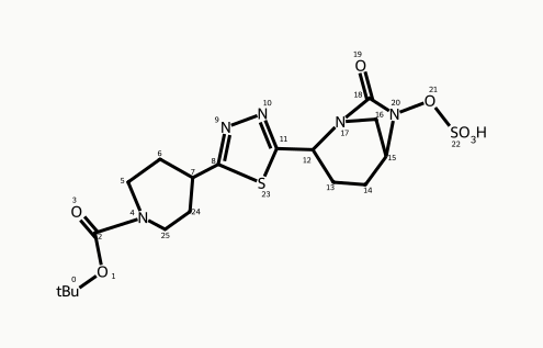 CC(C)(C)OC(=O)N1CCC(c2nnc(C3CCC4CN3C(=O)N4OS(=O)(=O)O)s2)CC1